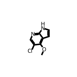 COc1c(Cl)cnc2[nH]ccc12